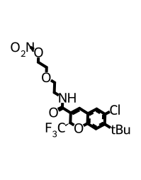 CC(C)(C)c1cc2c(cc1Cl)C=C(C(=O)NCCOCCO[N+](=O)[O-])[C@@H](C(F)(F)F)O2